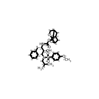 COc1ccc(S(=O)(=O)N(CC(C)C)C[C@@H](O)[C@H](Cc2ccccc2)NC(=O)OC2C3COC4OC2CC4C3)cc1